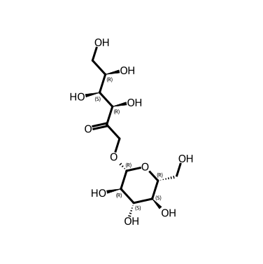 O=C(CO[C@@H]1O[C@H](CO)[C@@H](O)[C@H](O)[C@H]1O)[C@H](O)[C@@H](O)[C@H](O)CO